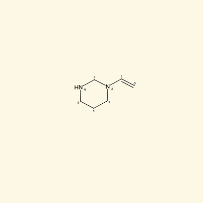 C=CN1CCCNC1